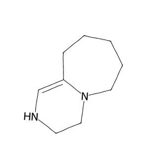 C1=C2CCCCCN2CCN1